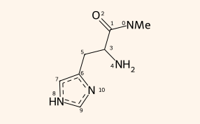 CNC(=O)C(N)Cc1c[nH]cn1